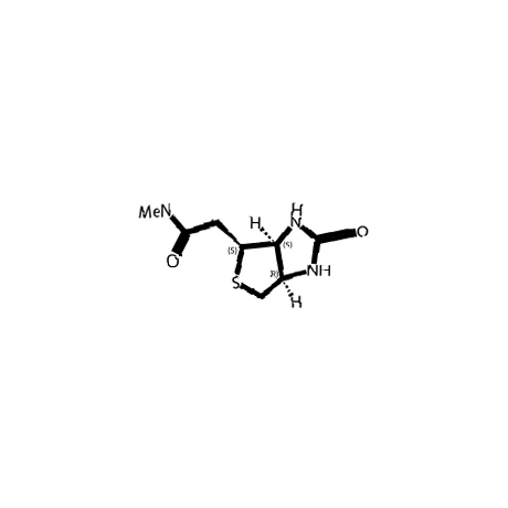 CNC(=O)C[C@@H]1SC[C@@H]2NC(=O)N[C@@H]21